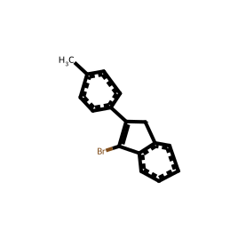 Cc1ccc(C2=C(Br)c3ccccc3[CH]2)cc1